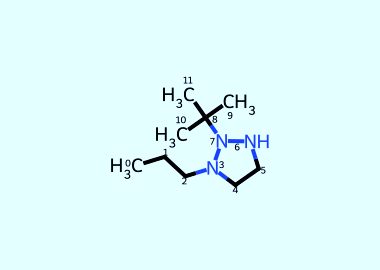 CCCN1CCNN1C(C)(C)C